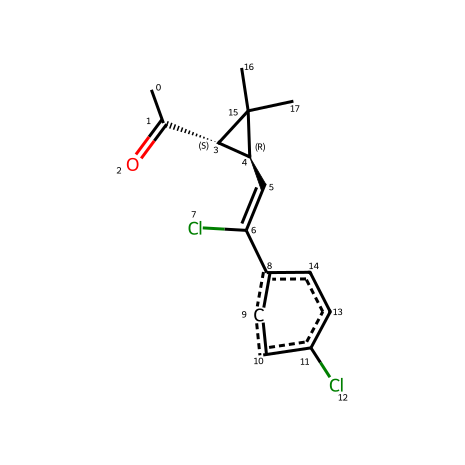 CC(=O)[C@H]1[C@H](C=C(Cl)c2ccc(Cl)cc2)C1(C)C